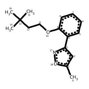 Cc1cc(-c2ccccc2OCCC(C)(C)C)no1